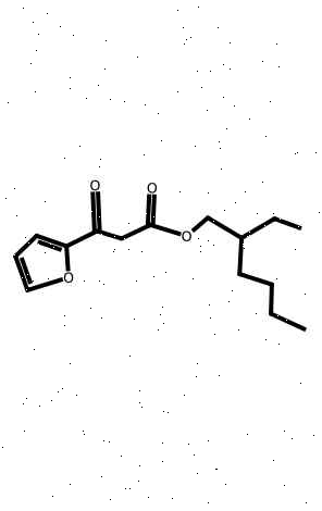 CCCCC(CC)COC(=O)CC(=O)c1ccco1